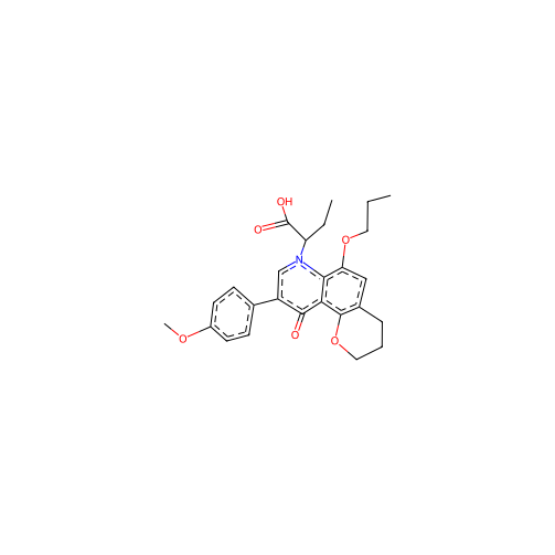 CCCOc1cc2c(c3c(=O)c(-c4ccc(OC)cc4)cn(C(CC)C(=O)O)c13)OCCC2